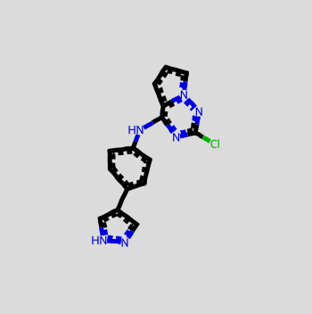 Clc1nc(Nc2ccc(-c3cn[nH]c3)cc2)c2cccn2n1